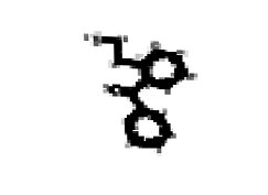 O=C(c1ccccc1)c1ccccc1CC[S]